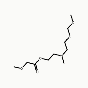 COCOCCN(C)CCOC(=O)COC